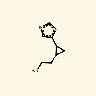 NCC[C@@H]1CC1c1c[nH]cn1